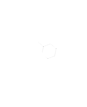 [Ta][CH]1CCCCO1